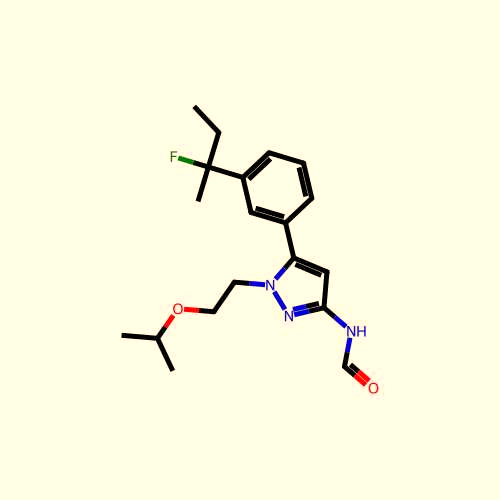 CCC(C)(F)c1cccc(-c2cc(NC=O)nn2CCOC(C)C)c1